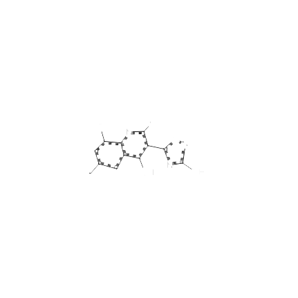 Cc1noc(-c2c(Cl)nc3c(F)cc(I)cc3c2C)n1